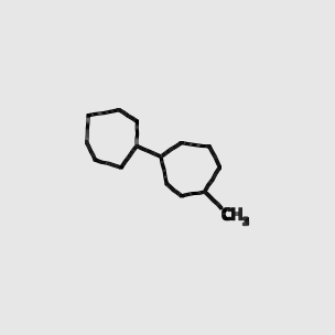 CC1CCCC(C2CCCCCC2)CC1